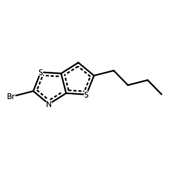 CCCCc1cc2sc(Br)nc2s1